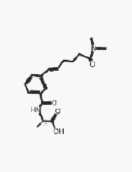 C[C@@H](NC(=O)c1cccc(C=CCCCC(=O)N(C)C)c1)C(=O)O